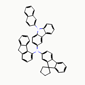 c1ccc2c(c1)Cc1cccc(N(c3ccc4c(c3)C3(CCCC3)c3ccccc3-4)c3ccc4c(c3)c3ccccc3n4-c3ccc4ccccc4c3)c1-2